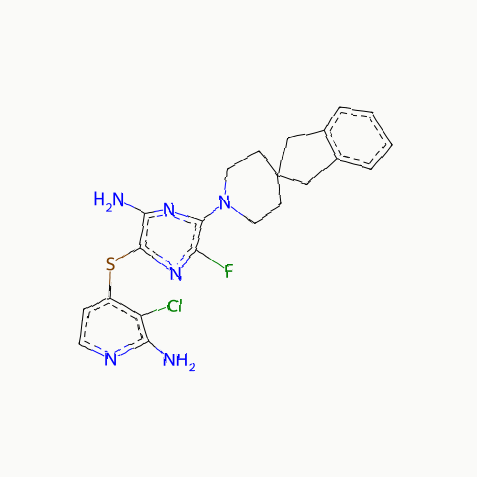 Nc1nc(N2CCC3(CC2)Cc2ccccc2C3)c(F)nc1Sc1ccnc(N)c1Cl